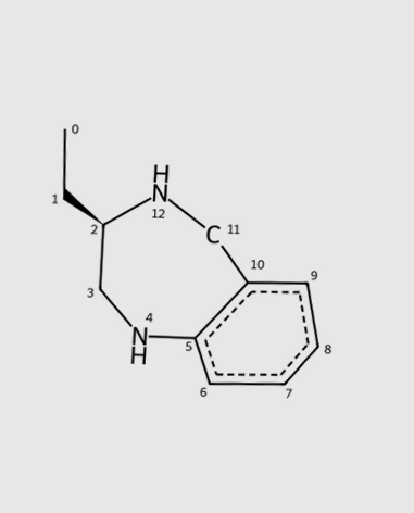 CC[C@@H]1CNc2ccccc2CN1